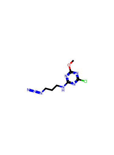 COc1nc(Cl)nc(NCCCN=[N+]=[N-])n1